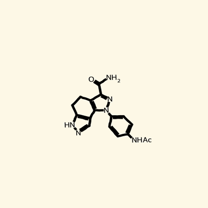 CC(=O)Nc1ccc(-n2nc(C(N)=O)c3c2-c2cn[nH]c2CC3)cc1